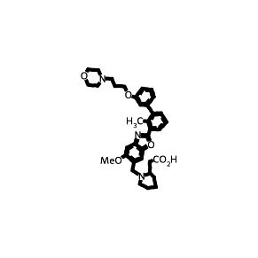 COc1cc2nc(-c3cccc(-c4cccc(OCCCN5CCOCC5)c4)c3C)oc2cc1CN1CCCCC1CC(=O)O